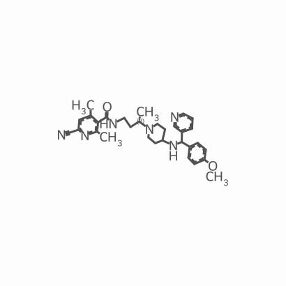 COc1ccc(C(NC2CCN([C@H](C)CCNC(=O)c3c(C)cc(C#N)nc3C)CC2)c2cccnc2)cc1